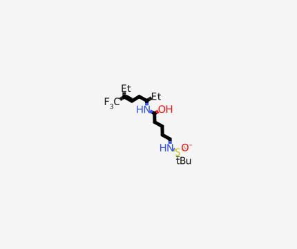 CC/C(=C\CC(CC)NC(O)CCCCN[S+]([O-])C(C)(C)C)C(F)(F)F